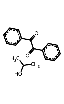 CC(C)O.O=C(C(=O)c1ccccc1)c1ccccc1